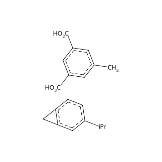 CC(C)c1ccc2c(c1)C2.Cc1cc(C(=O)O)cc(C(=O)O)c1